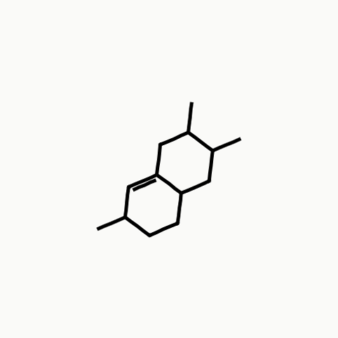 CC1C=C2CC(C)C(C)CC2CC1